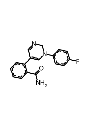 NC(=O)c1ccccc1C1=CN(c2ccc(F)cc2)CN=C1